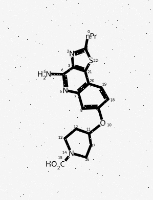 CCCc1nc2c(N)nc3cc(OC4CCN(C(=O)O)CC4)ccc3c2s1